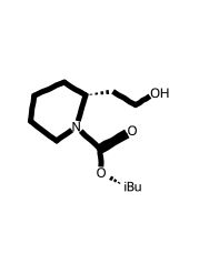 CC[C@@H](C)OC(=O)N1CCCC[C@@H]1CCO